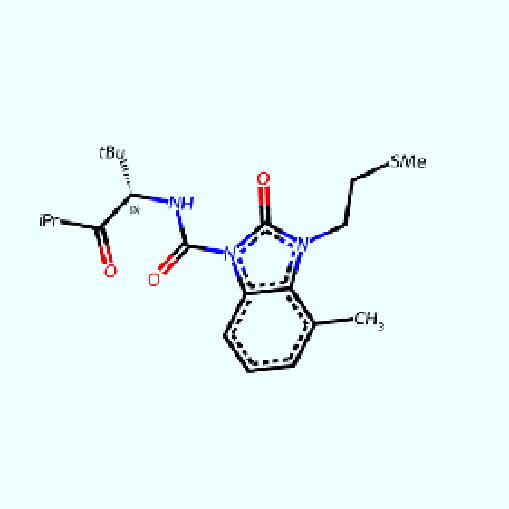 CSCCn1c(=O)n(C(=O)N[C@H](C(=O)C(C)C)C(C)(C)C)c2cccc(C)c21